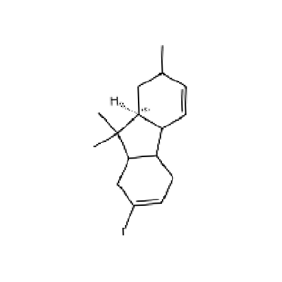 CC1C=CC2C3CC=C(I)CC3C(C)(C)[C@H]2C1